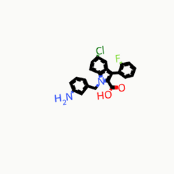 Nc1cccc(Cn2c(C(=O)O)c(-c3ccccc3F)c3cc(Cl)ccc32)c1